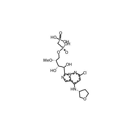 CO[C@H](COP(=O)(O)CP(=O)(O)O)[C@@H](O)[C@@H](O)c1ncc2c(N[C@@H]3CCOC3)cc(Cl)nn12